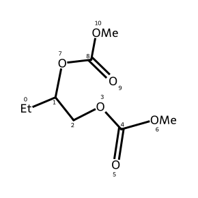 CCC(COC(=O)OC)OC(=O)OC